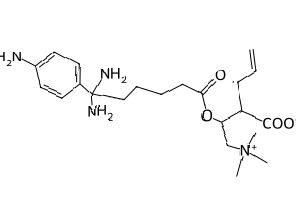 C=C[CH]C(C(=O)[O-])C(C[N+](C)(C)C)OC(=O)CCCCC(N)(N)c1ccc(N)cc1